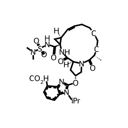 CC(C)n1c(O[C@@H]2C[C@H]3C(=O)N[C@]4(C(=O)NS(=O)(=O)N(C)C)C[C@H]4/C=C\CCCCC[C@H](C)C(=O)N3C2)nc2c(C(=O)O)cccc21